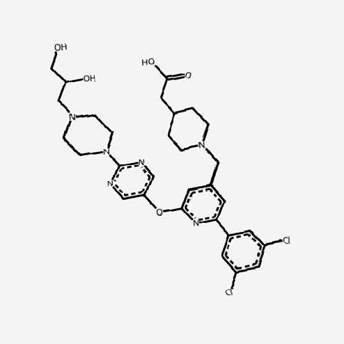 O=C(O)CC1CCN(Cc2cc(Oc3cnc(N4CCN(CC(O)CO)CC4)nc3)nc(-c3cc(Cl)cc(Cl)c3)c2)CC1